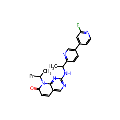 CC(Nc1ncc2ccc(=O)n(C(C)C(C)C)c2n1)c1ccc(-c2ccnc(F)c2)cn1